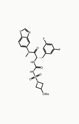 COC1CN(S(=O)(=O)NC(=O)N[C@@H](Cc2cc(F)cc(F)c2)C(=O)N(C)c2ccc3scnc3c2)C1